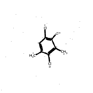 Cc1[c]c(Cl)c(Cl)c(C)c1Cl